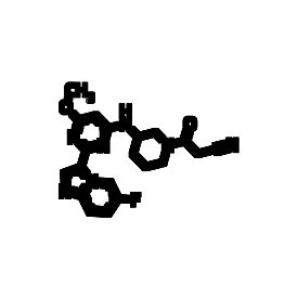 COc1cc(NC2CCCN(C(=O)CC#N)C2)nc(-c2cnc3ccc(F)cn23)n1